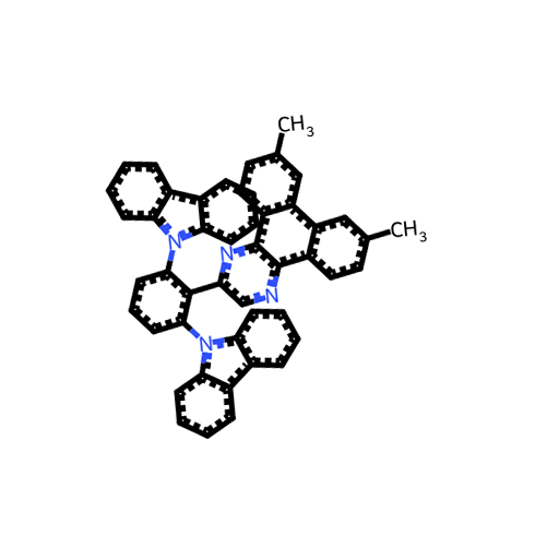 Cc1ccc2c(c1)c1cc(C)ccc1c1nc(-c3c(-n4c5ccccc5c5ccccc54)cccc3-n3c4ccccc4c4ccccc43)cnc21